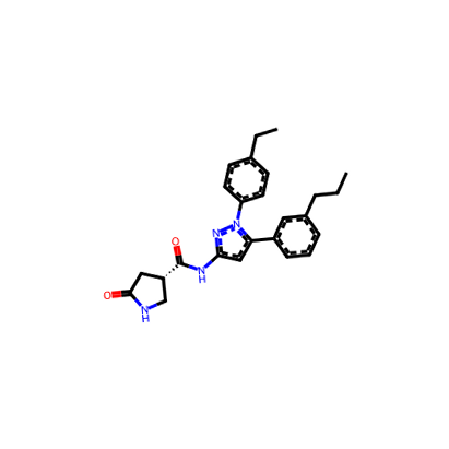 CCCc1cccc(-c2cc(NC(=O)[C@@H]3CNC(=O)C3)nn2-c2ccc(CC)cc2)c1